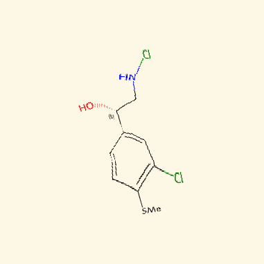 CSc1ccc([C@H](O)CNCl)cc1Cl